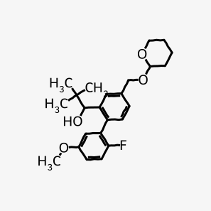 COc1ccc(F)c(-c2ccc(COC3CCCCO3)cc2C(O)C(C)(C)C)c1